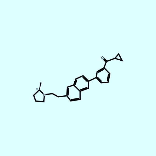 C[C@@H]1CCCN1CCc1ccc2cc(-c3cccc(C(=O)C4CC4)c3)ccc2c1